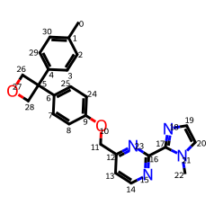 Cc1ccc(C2(c3ccc(OCc4ccnc(-c5nccn5C)n4)cc3)COC2)cc1